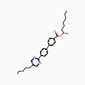 CCCCCC[C@@H](C)OC(=O)c1ccc(-c2ccc(-c3ncc(CCCCC)cn3)cc2)cc1